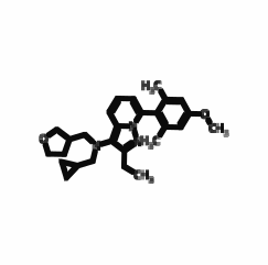 CCc1nn2c(-c3c(C)cc(OC)cc3C)cccc2c1N(CC1CC1)CC1CCOC1